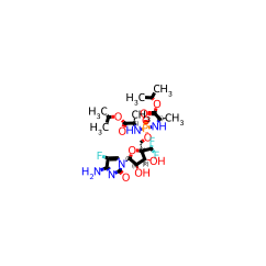 CC(C)OC(=O)[C@H](C)NP(=O)(N[C@@H](C)C(=O)OC(C)C)OC[C@@]1(C(F)F)O[C@@H](n2cc(F)c(N)nc2=O)[C@H](O)[C@H]1O